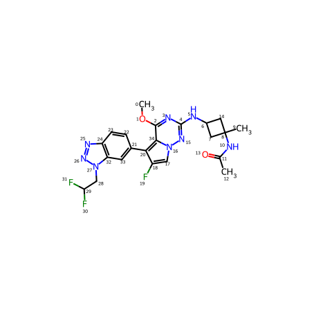 COc1nc(NC2CC(C)(NC(C)=O)C2)nn2cc(F)c(-c3ccc4nnn(CC(F)F)c4c3)c12